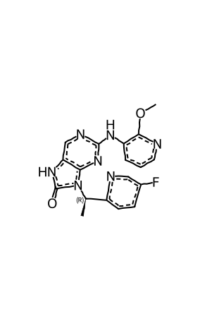 COc1ncccc1Nc1ncc2[nH]c(=O)n([C@H](C)c3ccc(F)cn3)c2n1